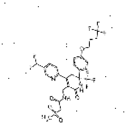 CS(=O)(=O)CC(=O)NCC1=C(c2ccc(C(F)F)cn2)C[C@](c2ccc(OCCCC(F)(F)F)cc2)(C(F)(F)F)NC1=O